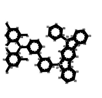 Cc1cc(C)c(B(c2cccc(-c3cccc(-n4c5ccccc5c5cc6c7ccccc7n(-c7ccccc7)c6cc54)c3)c2)c2c(C)cc(C)cc2C)c(C)c1